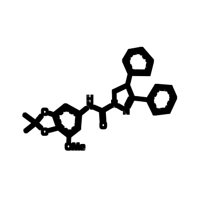 COc1cc(NC(=O)N2CC(c3ccccc3)C(c3ccccc3)=N2)cc2c1OC(C)(C)O2